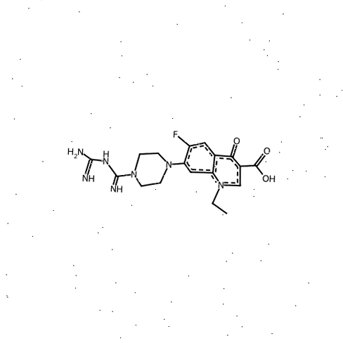 CCn1cc(C(=O)O)c(=O)c2cc(F)c(N3CCN(C(=N)NC(=N)N)CC3)cc21